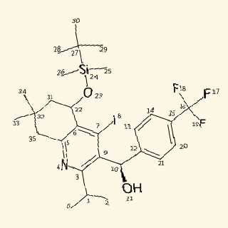 CC(C)c1nc2c(c(I)c1[C@H](O)c1ccc(C(F)(F)F)cc1)C(O[Si](C)(C)C(C)(C)C)CC(C)(C)C2